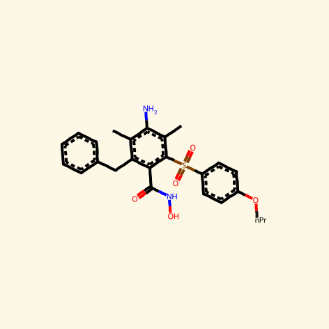 CCCOc1ccc(S(=O)(=O)c2c(C)c(N)c(C)c(Cc3ccccc3)c2C(=O)NO)cc1